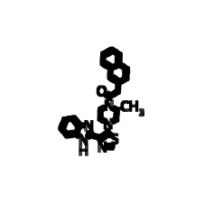 C[C@@H]1CN(c2scnc2-c2nc3ccccc3[nH]2)CCN1C(=O)Cc1ccc2ccccc2c1